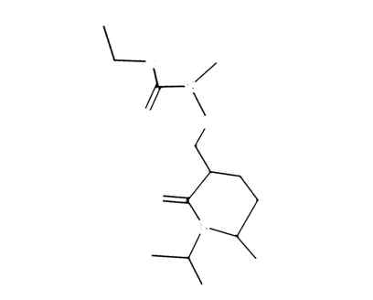 CCOC(=O)N(C)SCC1CCC(C)N(C(C)C)C1=O